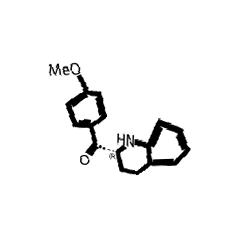 COc1ccc(C(=O)[C@H]2CCc3ccccc3N2)cc1